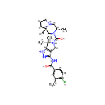 Cc1cc(C(=O)Nc2n[nH]c3c2CN(C(=O)N2C[C@@H]4CCCN4C[C@@H]2C)C3(C)C)ccc1F